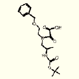 CC(CN(CCOCc1ccccc1)C(=O)C(=O)O)NC(=O)OC(C)(C)C